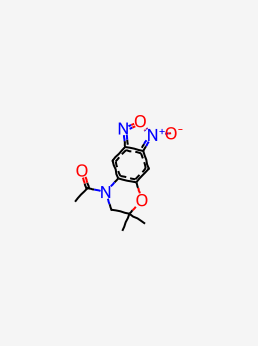 CC(=O)N1CC(C)(C)Oc2cc3c(cc21)no[n+]3[O-]